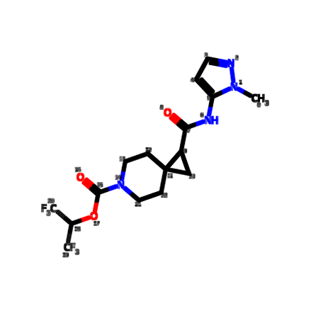 Cn1nccc1NC(=O)C1CC12CCN(C(=O)OC(C(F)(F)F)C(F)(F)F)CC2